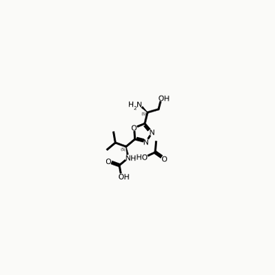 CC(=O)O.CC(C)[C@H](NC(=O)O)c1nnc([C@@H](N)CO)o1